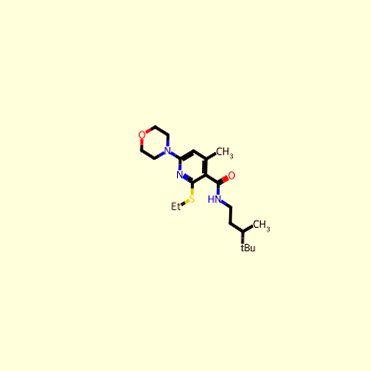 CCSc1nc(N2CCOCC2)cc(C)c1C(=O)NCCC(C)C(C)(C)C